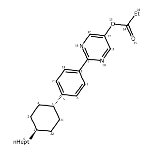 CCCCCCC[C@H]1CC[C@H](c2ccc(-c3ncc(OC(=O)CC)cn3)cc2)CC1